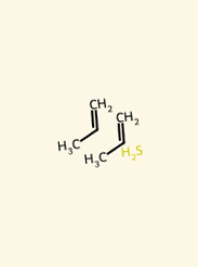 C=CC.C=CC.S